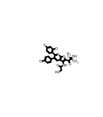 CC(C)(O)C(=O)c1oc2nc(-c3ccc(F)cc3Cl)c(-c3ccc(Cl)cc3)cc2c1NC(=O)CO